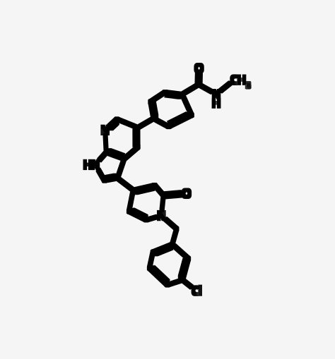 CNC(=O)c1ccc(-c2cnc3[nH]cc(-c4ccn(Cc5cccc(Cl)c5)c(=O)c4)c3c2)cc1